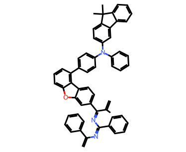 C=C(C)/C(=N\C(=N/C(=C)c1ccccc1)c1ccccc1)c1ccc2c(c1)oc1cccc(-c3ccc(N(c4ccccc4)c4ccc5c(c4)-c4ccccc4C5(C)C)cc3)c12